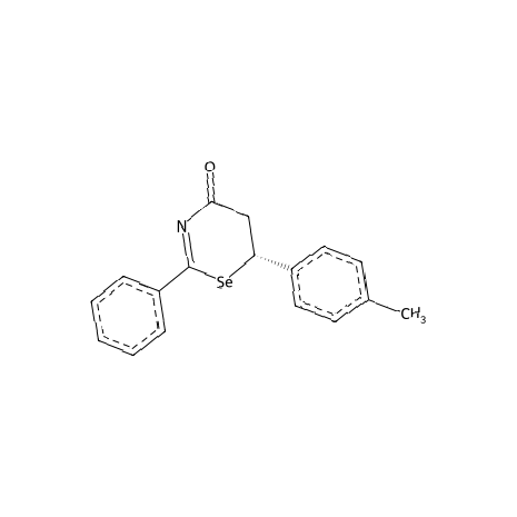 Cc1ccc([C@H]2CC(=O)N=C(c3ccccc3)[Se]2)cc1